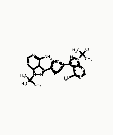 CC(C)(C)N1N=C(c2ccc(-c3nn(C(C)(C)C)c4ncnc(N)c34)cc2)C2C(N)=NC=NC21